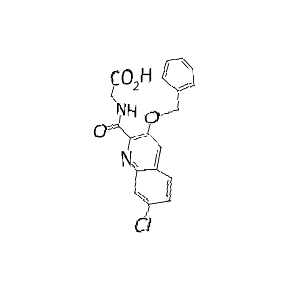 O=C(O)CNC(=O)c1nc2cc(Cl)ccc2cc1OCc1ccccc1